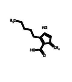 C=C1C=CC(CCCCC)=C1C(=O)O.Cl